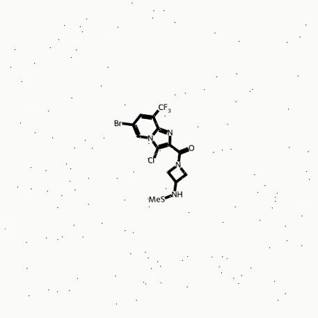 CSNC1CN(C(=O)c2nc3c(C(F)(F)F)cc(Br)cn3c2Cl)C1